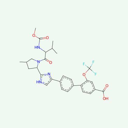 COC(=O)NC(C(=O)N1CC(C)CC1c1nc(-c2ccc(-c3ccc(C(=O)O)cc3OC(F)(F)F)cc2)c[nH]1)C(C)C